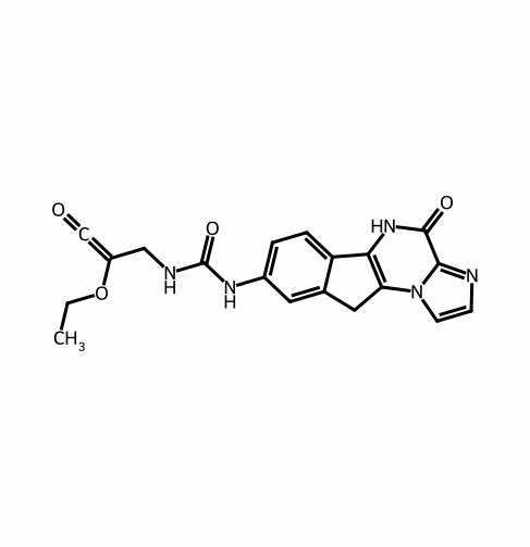 CCOC(=C=O)CNC(=O)Nc1ccc2c(c1)Cc1c-2[nH]c(=O)c2nccn12